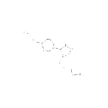 CC(C)CCc1ccc(-c2n[nH]cc2CN(C)CCN)cn1